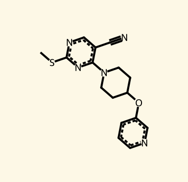 CSc1ncc(C#N)c(N2CCC(Oc3cccnc3)CC2)n1